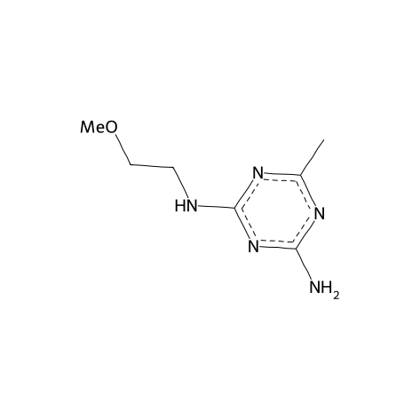 COCCNc1nc(C)nc(N)n1